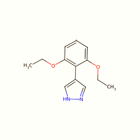 CCOc1c[c]cc(OCC)c1-c1cn[nH]c1